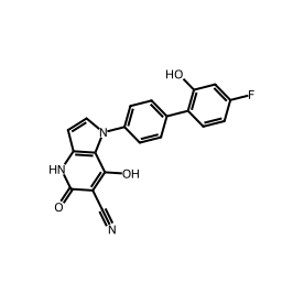 N#Cc1c(O)c2c(ccn2-c2ccc(-c3ccc(F)cc3O)cc2)[nH]c1=O